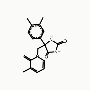 C=C1C(C)=CC=CN1CC1(c2ccc(C)c(C)c2)NC(=O)NC1=O